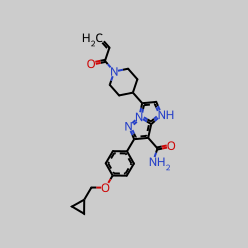 C=CC(=O)N1CCC(c2c[nH]c3c(C(N)=O)c(-c4ccc(OCC5CC5)cc4)nn23)CC1